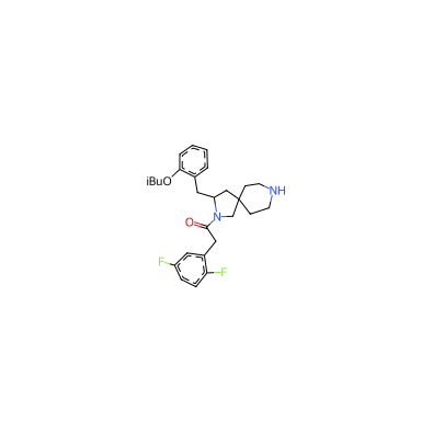 CC(C)COc1ccccc1CC1CC2(CCNCC2)CN1C(=O)Cc1cc(F)ccc1F